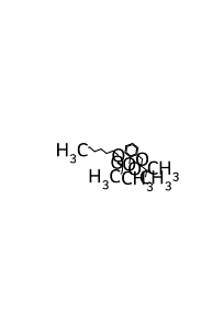 CCCCCCOc1cccc(OC(=O)C(C)C)c1OC(=O)C(C)C